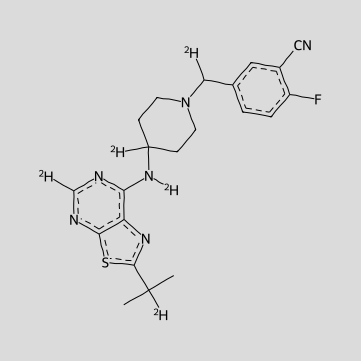 [2H]c1nc(N([2H])C2([2H])CCN(C([2H])c3ccc(F)c(C#N)c3)CC2)c2nc(C([2H])(C)C)sc2n1